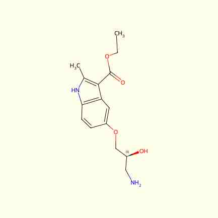 CCOC(=O)c1c(C)[nH]c2ccc(OC[C@@H](O)CN)cc12